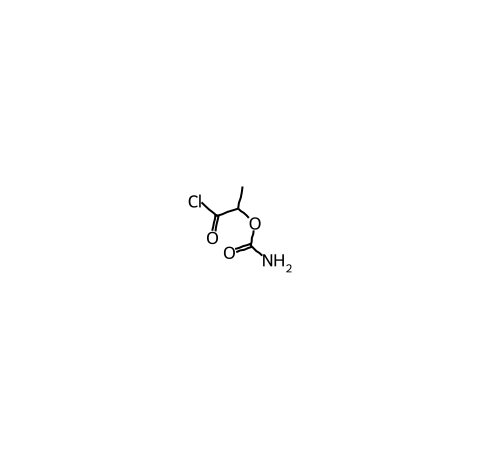 CC(OC(N)=O)C(=O)Cl